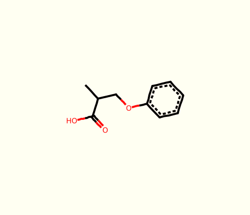 CC(COc1ccccc1)C(=O)O